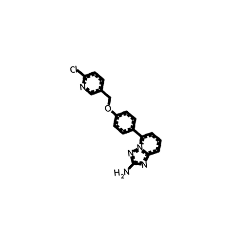 Nc1nc2cccc(-c3ccc(OCc4ccc(Cl)nc4)cc3)n2n1